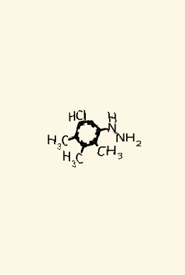 Cc1ccc(NN)c(C)c1C.Cl